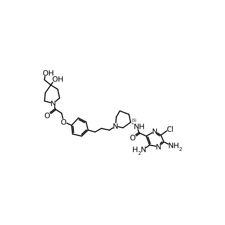 Nc1nc(N)c(C(=O)N[C@H]2CCCN(CCCc3ccc(OCC(=O)N4CCC(O)(CO)CC4)cc3)C2)nc1Cl